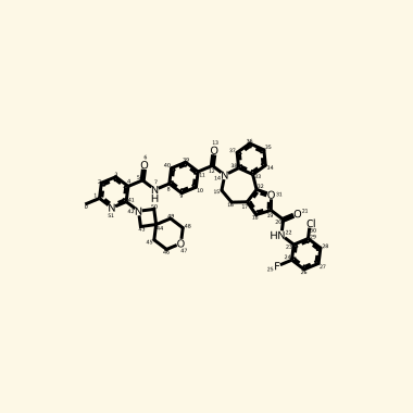 Cc1ccc(C(=O)Nc2ccc(C(=O)N3CCc4cc(C(=O)Nc5c(F)cccc5Cl)oc4-c4ccccc43)cc2)c(N2CC3(CCOCC3)C2)n1